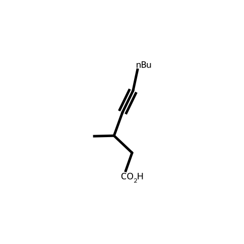 CCCCC#CC(C)CC(=O)O